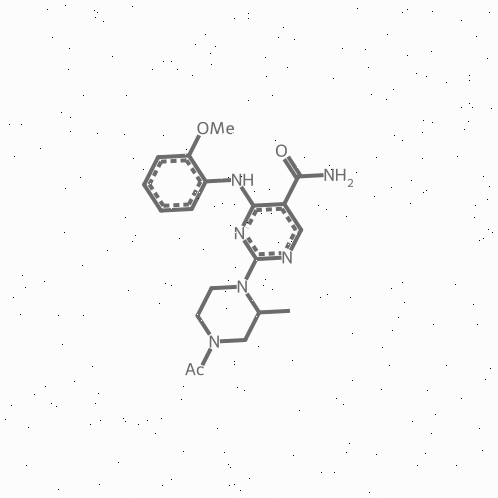 COc1ccccc1Nc1nc(N2CCN(C(C)=O)CC2C)ncc1C(N)=O